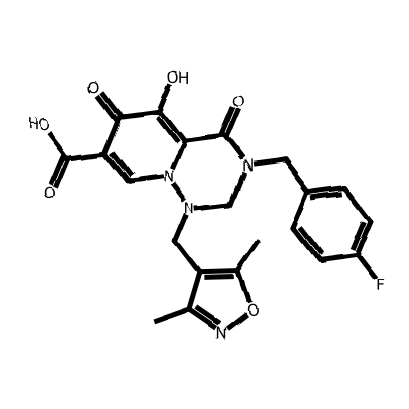 Cc1noc(C)c1CN1CN(Cc2ccc(F)cc2)C(=O)c2c(O)c(=O)c(C(=O)O)cn21